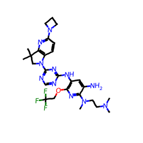 CN(C)CCN(C)c1nc(OCC(F)(F)F)c(Nc2ncnc(N3CC(C)(C)c4nc(N5CCC5)ccc43)n2)cc1N